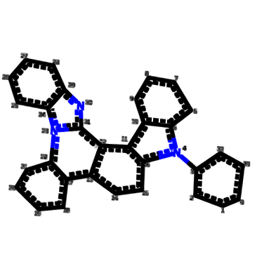 c1ccc(-n2c3ccccc3c3c4c(ccc32)c2ccccc2n2c3ccccc3nc42)cc1